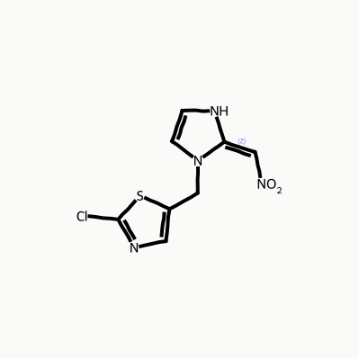 O=[N+]([O-])/C=C1/NC=CN1Cc1cnc(Cl)s1